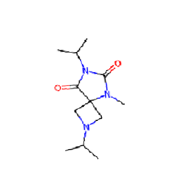 CC(C)N1CC2(C1)C(=O)N(C(C)C)C(=O)N2C